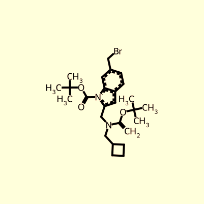 C=C(OC(C)(C)C)N(Cc1cc2ccc(CBr)cc2n1C(=O)OC(C)(C)C)CC1CCC1